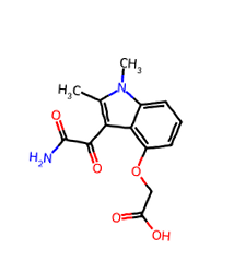 Cc1c(C(=O)C(N)=O)c2c(OCC(=O)O)cccc2n1C